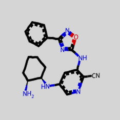 N#Cc1ncc(N[C@@H]2CCCC[C@@H]2N)cc1Nc1nc(-c2ccccc2)no1